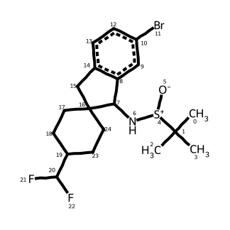 CC(C)(C)[S+]([O-])NC1c2cc(Br)ccc2CC12CCC(C(F)F)CC2